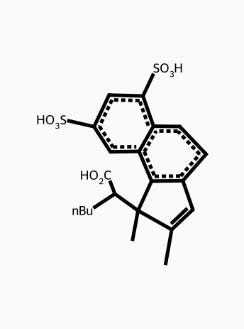 CCCCC(C(=O)O)C1(C)C(C)=Cc2ccc3c(S(=O)(=O)O)cc(S(=O)(=O)O)cc3c21